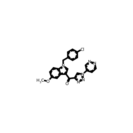 COc1ccc2c(c1)c(C(=O)c1cn(-c3ccnnc3)nn1)cn2Cc1ccc(Cl)cc1